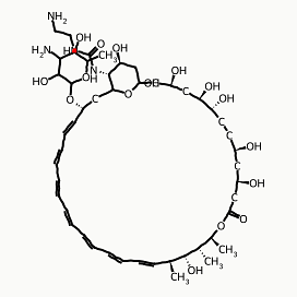 CC1OC(O[C@H]2/C=C/C=C/C=C/C=C/C=C/C=C/C=C/[C@H](C)[C@@H](O)[C@@H](C)[C@H](C)OC(=O)C[C@H](O)C[C@H](O)CC[C@@H](O)[C@H](O)C[C@H](O)C[C@]3(O)C[C@H](O)[C@@H](NC(=O)NCCN)C(C2)O3)C(O)C(N)C1O